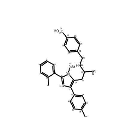 CCCCn1c(-c2ccccc2C)nc(-c2ccc(C)cc2)c1CC(NCc1ccc(C(=O)O)cc1)C(C)C